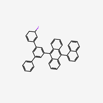 IC1C=C(c2cc(-c3ccccc3)cc(-c3c4ccccc4c(-c4cccc5ccccc45)c4ccccc34)c2)C=CC1